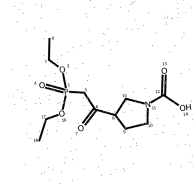 CCOP(=O)(CC(=O)C1CCN(C(=O)O)C1)OCC